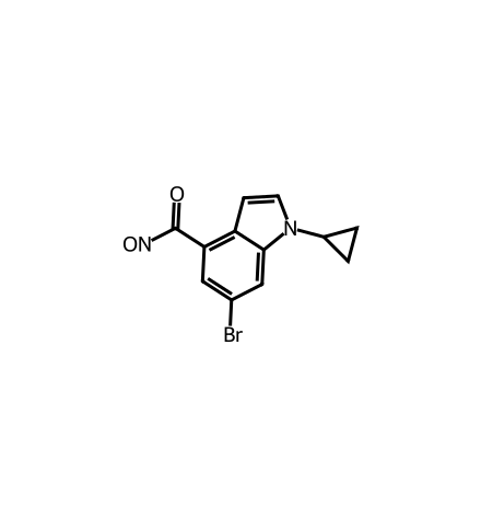 O=NC(=O)c1cc(Br)cc2c1ccn2C1CC1